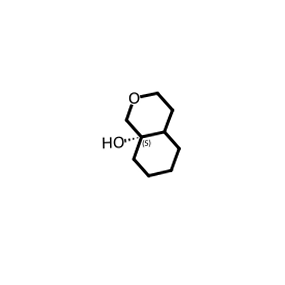 O[C@@]12CCCCC1CCOC2